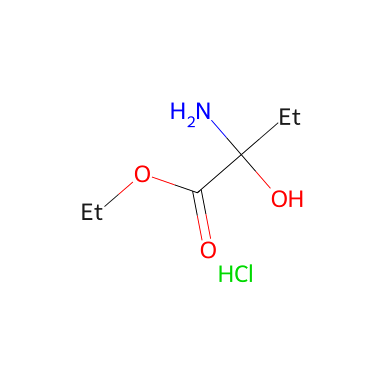 CCOC(=O)C(N)(O)CC.Cl